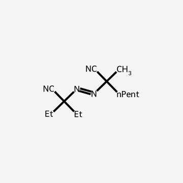 CCCCCC(C)(C#N)N=NC(C#N)(CC)CC